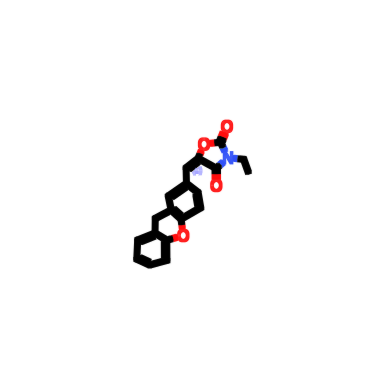 CCN1C(=O)O/C(=C/c2ccc3c(c2)Cc2ccccc2O3)C1=O